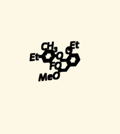 CCOc1cccc(CC(=O)OC)c1COc1cc(C)c(CC)cc1F